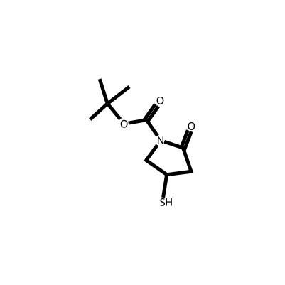 CC(C)(C)OC(=O)N1CC(S)CC1=O